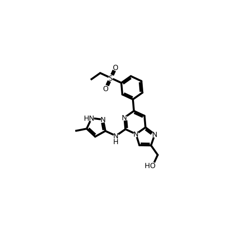 CCS(=O)(=O)c1cccc(-c2cc3nc(CO)cn3c(Nc3cc(C)[nH]n3)n2)c1